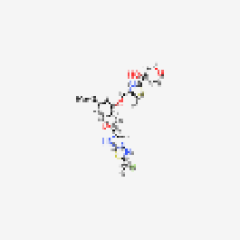 COc1cc(OCc2nc(C3(O)CCOCC3)sc2C)c2cc(C3=CN4N=C([C@H](C)F)SC4N3)oc2c1